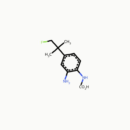 CC(C)(CF)c1ccc(NC(=O)O)c(N)c1